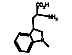 CN1CC(C[C@H](N)C(=O)O)c2ccccc21